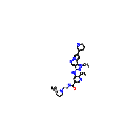 Cc1ncc(C(=O)NCCN2CCC[C@@H]2C)cc1Nc1nn(C)c2c1cnn1cc(-c3cccnc3)cc21